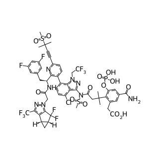 CC(C)(CC(=O)N(c1nn(CC(F)(F)F)c2c(-c3ccc(C#CC(C)(C)S(C)(=O)=O)nc3[C@H](Cc3cc(F)cc(F)c3)NC(=O)Cn3nc(C(F)(F)F)c4c3C(F)(F)[C@@H]3C[C@H]43)ccc(Cl)c12)S(C)(=O)=O)c1c(CC(=O)O)cc(C(N)=O)cc1OP(=O)(O)O